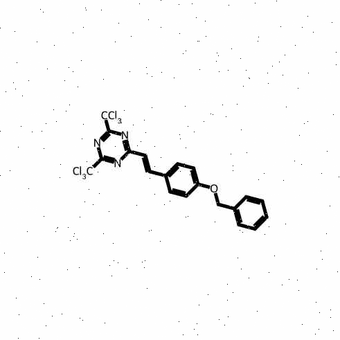 ClC(Cl)(Cl)c1nc(C=Cc2ccc(OCc3ccccc3)cc2)nc(C(Cl)(Cl)Cl)n1